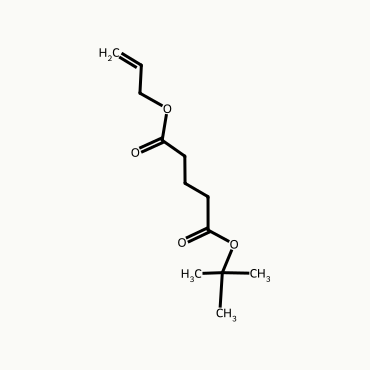 C=CCOC(=O)CCCC(=O)OC(C)(C)C